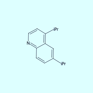 CC(C)c1ccc2nccc(C(C)C)c2c1